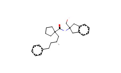 O=C(O)[C@@H](CCc1ccccc1)CC1(C(=O)NC2(CO)Cc3ccccc3C2)CCCC1